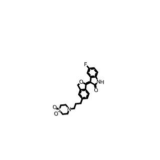 O=C1Nc2ccc(F)cc2C1=C1OCc2cc(CCCN3CCS(=O)(=O)CC3)ccc21